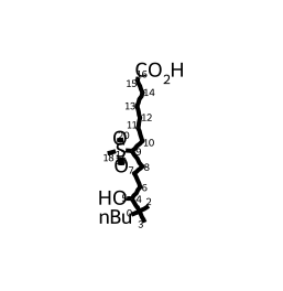 CCCCC(C)(C)C(O)CCCC(CCCCCCC(=O)O)S(C)(=O)=O